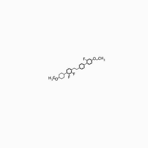 CCOc1ccc(-c2ccc(CCc3ccc(C4CCC(OC)CC4)c(F)c3F)cc2)c(F)c1